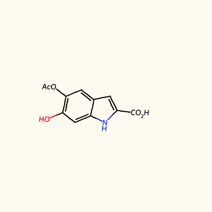 CC(=O)Oc1cc2cc(C(=O)O)[nH]c2cc1O